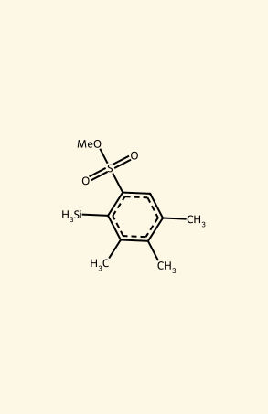 COS(=O)(=O)c1cc(C)c(C)c(C)c1[SiH3]